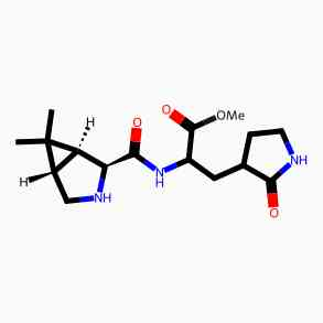 COC(=O)C(CC1CCNC1=O)NC(=O)[C@H]1NC[C@H]2[C@H]1C2(C)C